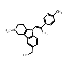 C/C(=C\n1c2c(c3cc(CO)ccc31)CN(C)CC2)c1ccc(C)nc1